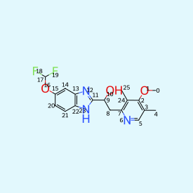 COc1c(C)cnc(CC(O)c2nc3cc(OC(F)F)ccc3[nH]2)c1C